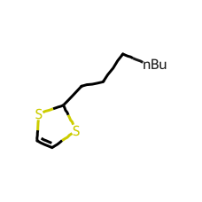 CCCCCCCC1SC=CS1